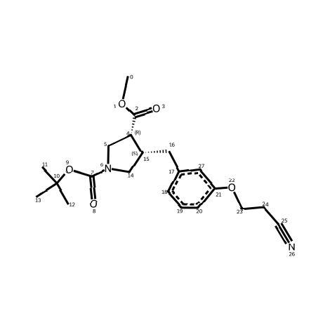 COC(=O)[C@H]1CN(C(=O)OC(C)(C)C)C[C@H]1Cc1cccc(OCCC#N)c1